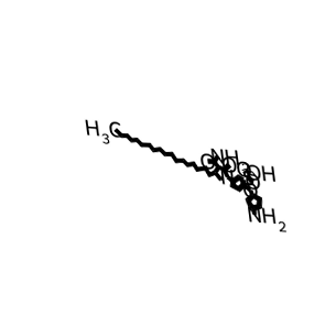 CCCCCCCCCCCCCCCCCCC1CN(c2ccc(Oc3ccc(N)cc3)c(S(=O)(=O)O)c2)C(=O)C1C(N)=O